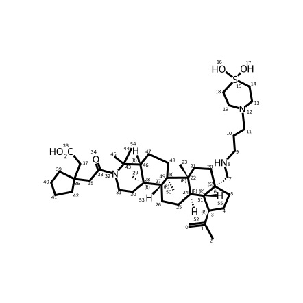 C=C(C)[C@@H]1CC[C@]2(CNCCCN3CCS(O)(O)CC3)CC[C@]3(C)[C@H](CC[C@@H]4[C@@]5(C)CCN(C(=O)CC6(CC(=O)O)CCCC6)C(C)(C)[C@@H]5CC[C@]43C)[C@@H]12